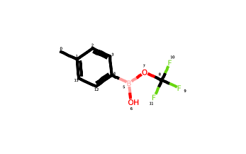 Cc1ccc(B(O)OC(F)(F)F)cc1